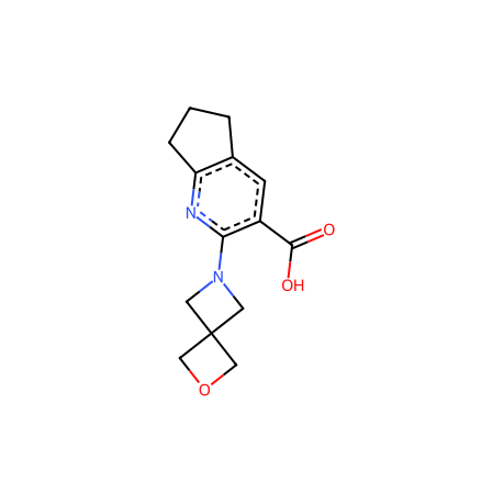 O=C(O)c1cc2c(nc1N1CC3(COC3)C1)CCC2